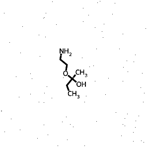 CCC(C)(O)OCCN